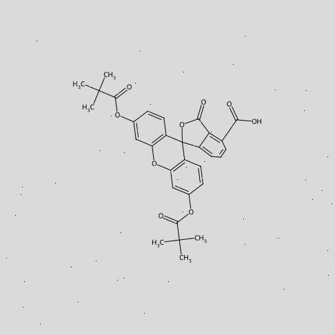 CC(C)(C)C(=O)Oc1ccc2c(c1)Oc1cc(OC(=O)C(C)(C)C)ccc1C21OC(=O)c2c(C(=O)O)cccc21